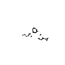 Cc1cc(Nc2nccc(C3CC3)n2)cc(-n2cnc(C[C@H](O)C(=O)O)c2)c1